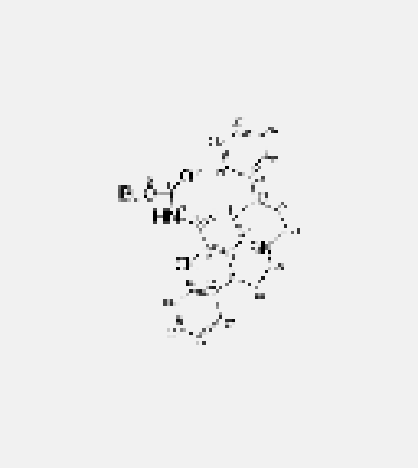 CC(C)COC(=O)Nc1cc2c3c(c1Cl)C(c1ccccc1)CCN3CCC2c1ccccc1